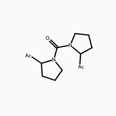 CC(=O)C1CCCN1C(=O)N1CCCC1C(C)=O